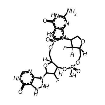 Nc1nc2c(ncn2[C@@]23CO[C@H](COP(=O)(S)O[C@H]4C(F)C(N5NNc6c5nc[nH]c6=O)O[C@@H]4COP(=O)(S)O2)[C@H]3F)c(=O)[nH]1